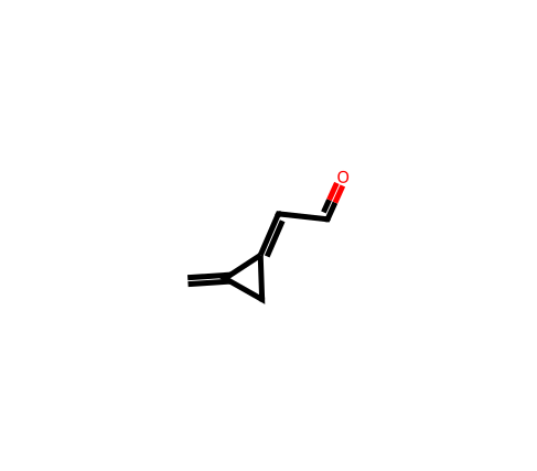 C=C1CC1=CC=O